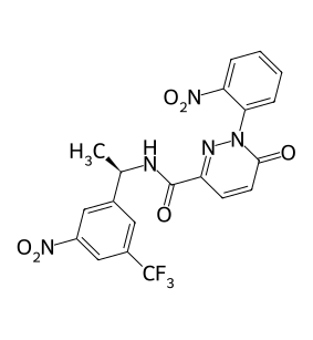 C[C@@H](NC(=O)c1ccc(=O)n(-c2ccccc2[N+](=O)[O-])n1)c1cc([N+](=O)[O-])cc(C(F)(F)F)c1